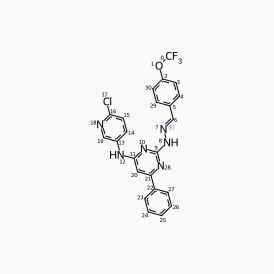 FC(F)(F)Oc1ccc(/C=N/Nc2nc(Nc3ccc(Cl)nc3)cc(-c3ccccc3)n2)cc1